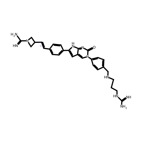 N=C(N)NCCCNCc1ccc(-n2cc3cc(-c4ccc(/C=C/C5CN(C(=N)N)C5)cc4)[nH]c3nc2=O)cc1